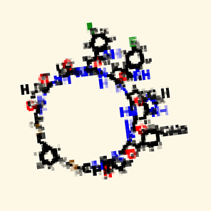 COc1ccc(C[C@@H]2NC(=O)[C@H](Cc3cnc[nH]3)NC(=O)[C@H](CC(=O)O)NC(=O)[C@H](Cc3c[nH]c4ccc(F)cc34)NC(=O)[C@H](Cc3c[nH]c4ccc(F)cc34)NC(=O)[C@@H](C)NC(=O)[C@H](C)NC(=O)CCSCc3cccc(c3)CSCCNC(=O)[C@]3(C)CCCN3C2=O)cc1